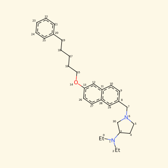 CCN(CC)C1CCN(Cc2ccc3cc(OCCCCCc4ccccc4)ccc3c2)C1